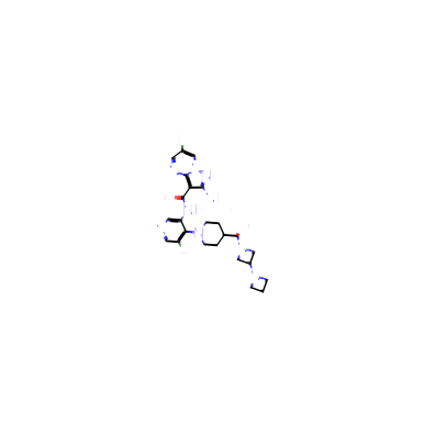 Nc1nn2cc(F)cnc2c1C(=O)Nc1cncc(F)c1N1CCC(C(=O)N2CC(N3CCC3)C2)CC1